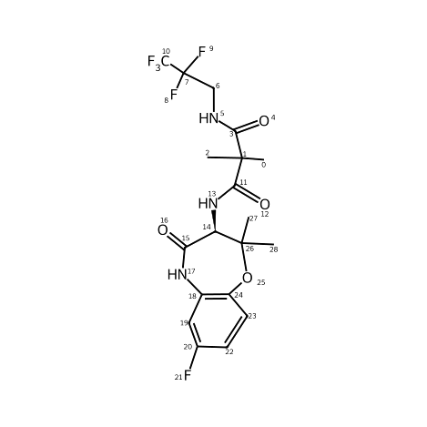 CC(C)(C(=O)NCC(F)(F)C(F)(F)F)C(=O)N[C@@H]1C(=O)Nc2cc(F)ccc2OC1(C)C